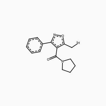 [2H]Cc1onc(-c2ccccc2)c1C(=O)N1CCCC1